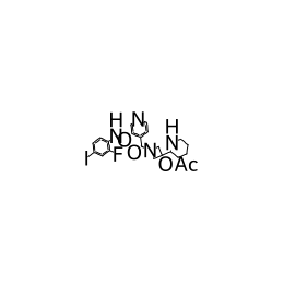 CC(=O)OC1(C2CCCCN2)CN(C(=O)c2ccncc2ONc2ccc(I)cc2F)C1